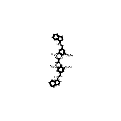 COc1cc(CNC2CCc3ccccc32)cc(OC)c1OC(=O)C(=O)Oc1c(OC)cc(CNC2CCc3ccccc32)cc1OC